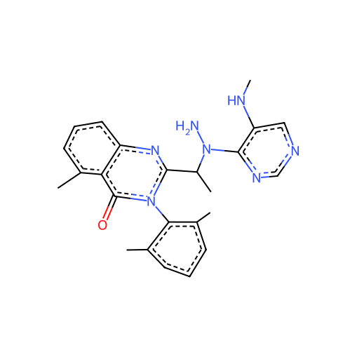 CNc1cncnc1N(N)C(C)c1nc2cccc(C)c2c(=O)n1-c1c(C)cccc1C